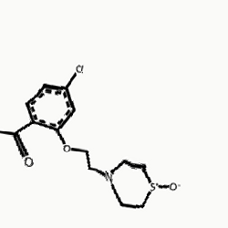 COC(=O)c1ccc(Cl)cc1OCCN1CC[S+]([O-])CC1